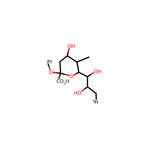 [2H]CC(O)C(O)C1OC(OC(C)C)(C(=O)O)CC(O)C1C